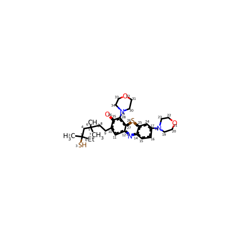 CCC(C)(S)CC(C)(C)CCc1cc2nc3ccc(N4CCOCC4)cc3sc-2c(N2CCOCC2)c1=O